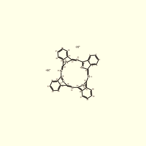 [H+].[H+].c1ccc2c(c1)-c1nc-2nc2[nH]c(nc3nc(nc4[nH]c(n1)c1ccccc41)-c1ccccc1-3)c1ccccc21